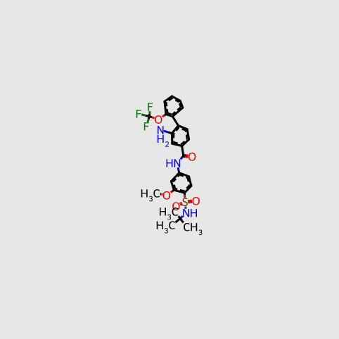 COc1cc(NC(=O)c2ccc(-c3ccccc3OC(F)(F)F)c(N)c2)ccc1S(=O)(=O)NC(C)(C)C